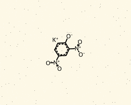 O=[N+]([O-])c1ccc([O-])c([N+](=O)[O-])c1.[K+]